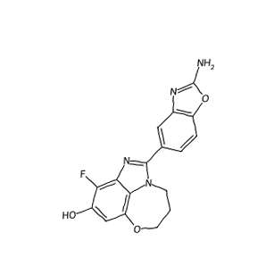 Nc1nc2cc(-c3nc4c(F)c(O)cc5c4n3CCCO5)ccc2o1